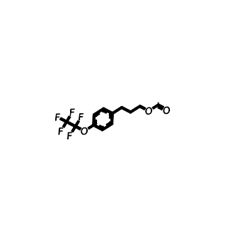 O=[C]OCCCc1ccc(OC(F)(F)C(F)(F)F)cc1